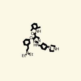 CCN(CC)CCc1cccc(Oc2nc(Nc3ccc(N4CCNCC4)cc3)ncc2C(=O)Nc2c(C)cccc2C)c1